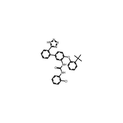 CC(C)(C)c1ccccc1Oc1ccc(-c2ccccc2-c2nnn[nH]2)cc1NC(=O)Nc1ccccc1Cl